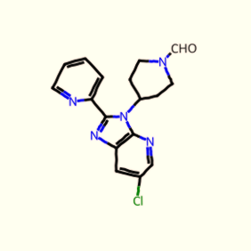 O=CN1CCC(n2c(-c3ccccn3)nc3cc(Cl)cnc32)CC1